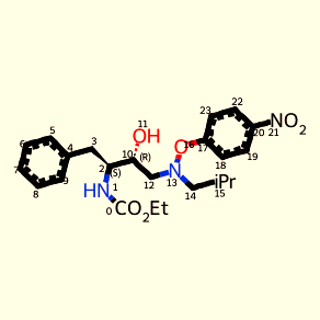 CCOC(=O)N[C@@H](Cc1ccccc1)[C@H](O)CN(CC(C)C)Oc1ccc([N+](=O)[O-])cc1